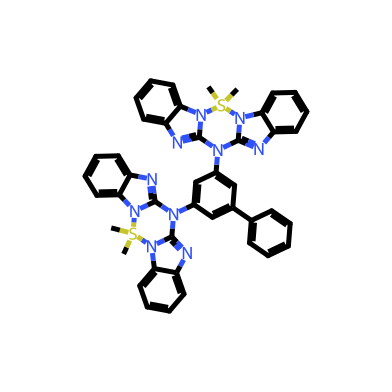 CS1(C)n2c(nc3ccccc32)N(c2cc(-c3ccccc3)cc(N3c4nc5ccccc5n4S(C)(C)n4c3nc3ccccc34)c2)c2nc3ccccc3n21